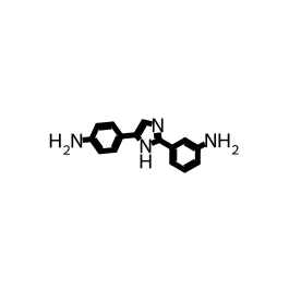 Nc1ccc(-c2cnc(-c3cccc(N)c3)[nH]2)cc1